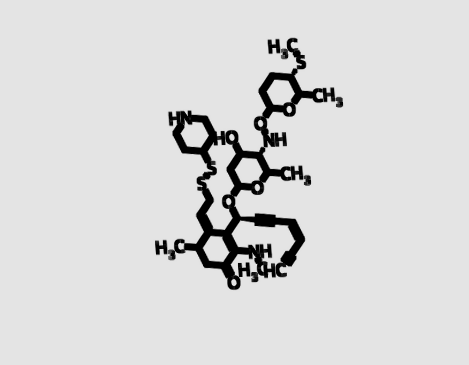 C#C/C=C\C#C[C@H](OC1CC(O)[C@H](NOC2CC[C@H](SC)C(C)O2)C(C)O1)C1=C(NC)C(=O)CC(C)/C1=C/CSSC1CCNCC1